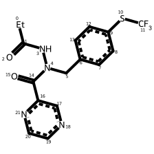 CCC(=O)NN(Cc1ccc(SC(F)(F)F)cc1)C(=O)c1cnccn1